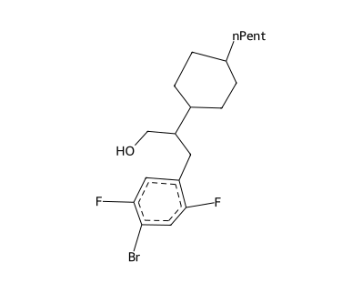 CCCCCC1CCC(C(CO)Cc2cc(F)c(Br)cc2F)CC1